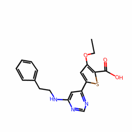 CCOc1cc(-c2cc(NCCc3ccccc3)ncn2)sc1C(=O)O